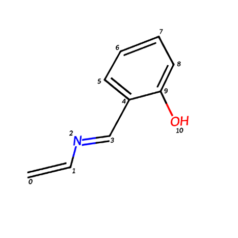 C=CN=Cc1ccccc1O